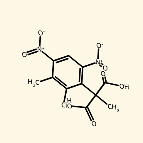 Cc1c([N+](=O)[O-])cc([N+](=O)[O-])c(C(C)(C(=O)O)C(=O)O)c1Cl